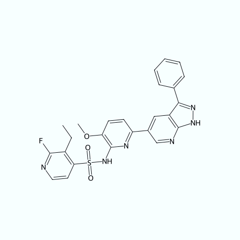 CCc1c(S(=O)(=O)Nc2nc(-c3cnc4[nH]nc(-c5ccccc5)c4c3)ccc2OC)ccnc1F